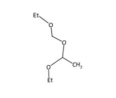 CCOCOC(C)OCC